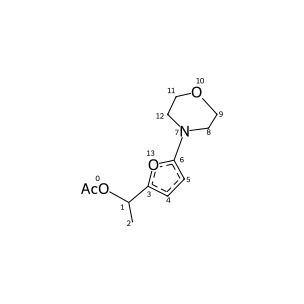 CC(=O)OC(C)c1ccc(N2CCOCC2)o1